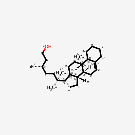 CC(C)[C@H](CCO)CC[C@@H](C)[C@H]1CC[C@H]2[C@@H]3CC=C4CCCC[C@]4(C)[C@H]3CC[C@]12C